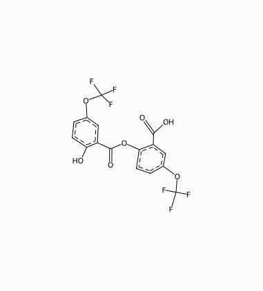 O=C(Oc1ccc(OC(F)(F)F)cc1C(=O)O)c1cc(OC(F)(F)F)ccc1O